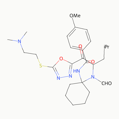 COc1ccc(C(=O)NC2(N(C=O)C(CC(C)C)C(=O)c3nnc(SCCN(C)C)o3)CCCCC2)cc1